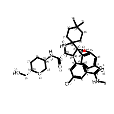 CNC(=O)c1cc(Cl)cc([C@H]2[C@H](C(=O)N[C@@H]3CC[C@@H](CO)OC3)NC3(CCC(C)(C)CC3)[C@@]23CNc2cc(Cl)ccc23)c1